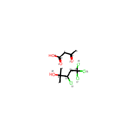 CC(=O)CC(=O)O.CC(C)(O)C(Cl)CC(Cl)(Cl)Cl